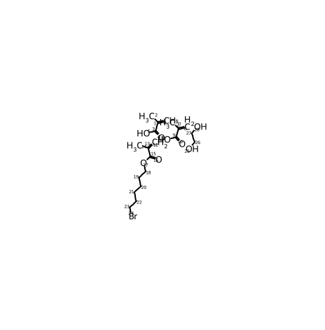 C=C(C)C(=O)O.C=C(C)C(=O)O.C=C(C)C(=O)OCCCCCCBr.OCCO